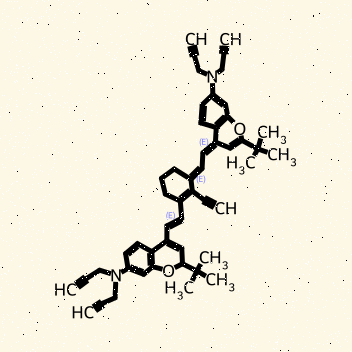 C#CCN(CC#C)c1ccc2c(c1)OC(C(C)(C)C)C=C2/C=C/C1=C(C#C)C(=C/C=C2\C=C(C(C)(C)C)Oc3cc(N(CC#C)CC#C)ccc32)/CCC1